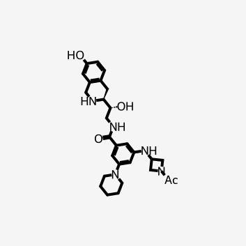 CC(=O)N1CC(Nc2cc(C(=O)NC[C@@H](O)[C@@H]3Cc4ccc(O)cc4CN3)cc(N3CCCCC3)c2)C1